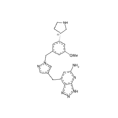 COc1cc(Cn2cc(Cc3cc(N)nc4[nH]nnc34)cn2)cc([C@@H]2CCNC2)c1